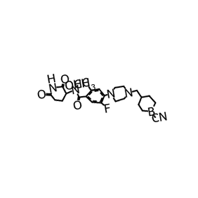 CN(C(=O)c1cc(F)c(N2CCN(CC3CCB(C#N)CC3)CC2)cc1C=O)C1CCC(=O)NC1=O